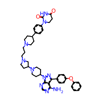 Nc1ncnc2c1c(-c1ccc(Oc3ccccc3)cc1)nn2C1CCN(C2CCN(CCCN3CCC(c4ccc(N5CCC(=O)NC5=O)cc4)CC3)C2)CC1